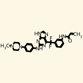 C=CC(=O)Nc1cccc(C(F)(F)c2nc(Nc3ccc(N4CCN(C)CC4)cc3)nc3[nH]cnc23)c1